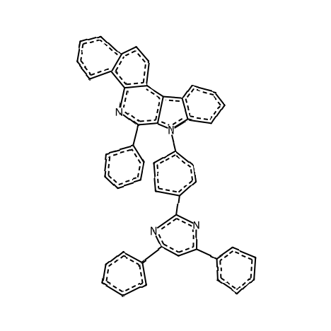 c1ccc(-c2cc(-c3ccccc3)nc(-c3ccc(-n4c5ccccc5c5c6ccc7ccccc7c6nc(-c6ccccc6)c54)cc3)n2)cc1